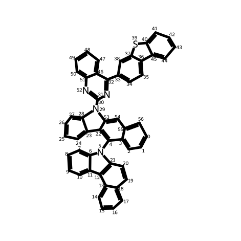 c1ccc2c(-n3c4ccccc4c4c5ccccc5ccc43)c3c4ccccc4n(-c4nc(-c5ccc6c(c5)sc5ccccc56)c5ccccc5n4)c3cc2c1